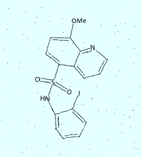 COc1ccc(S(=O)(=O)Nc2ccccc2I)c2cccnc12